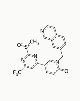 C[S+]([O-])c1nc(-c2ccc(=O)n(Cc3ccc4ccncc4c3)c2)cc(C(F)(F)F)n1